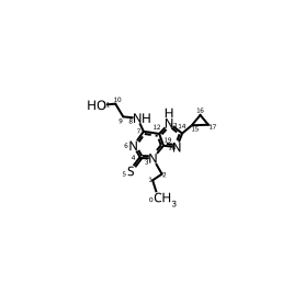 CCCn1c(=S)nc(NCCO)c2[nH]c(C3CC3)nc21